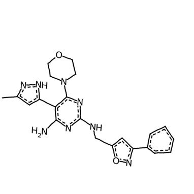 Cc1cc(-c2c(N)nc(NCc3cc(-c4ccccc4)no3)nc2N2CCOCC2)[nH]n1